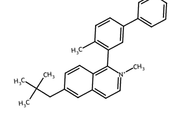 Cc1ccc(-c2cccnc2)cc1-c1c2ccc(CC(C)(C)C)cc2cc[n+]1C